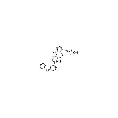 CN1C(=O)[C@@H](NC(=O)c2cc(Oc3ccccc3)ccn2)COc2c(C#CC(C)(C)O)ccnc21